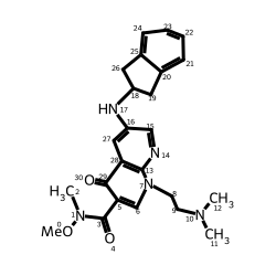 CON(C)C(=O)c1cn(CCN(C)C)c2ncc(NC3Cc4ccccc4C3)cc2c1=O